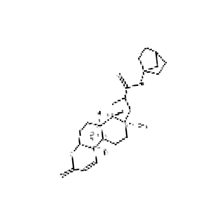 C[C@]12CC[C@@H]3[C@@H](CCC4OC(=O)C=C[C@@]43C)[C@@H]1CC(C(=O)NC13CCC(CC1)C3)C2